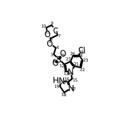 O=S(=O)(CCOC1CCCCO1)c1cn(CC2=NCCN2)c2ccc(Cl)cc12